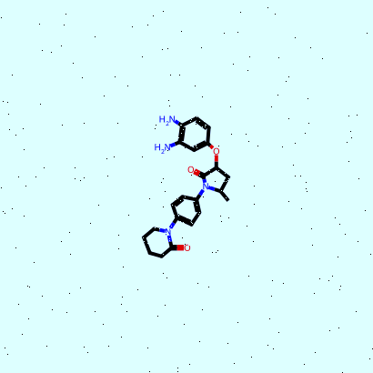 CC1CC(Oc2ccc(N)c(N)c2)C(=O)N1c1ccc(N2CCCCC2=O)cc1